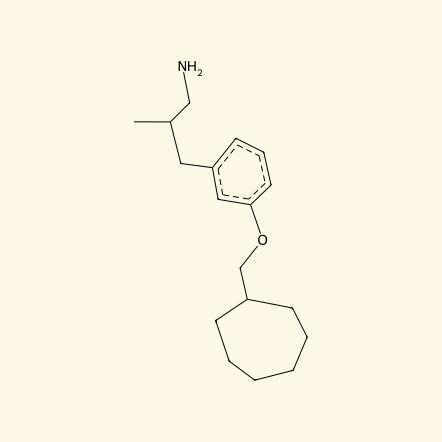 CC(CN)Cc1cccc(OCC2CCCCCC2)c1